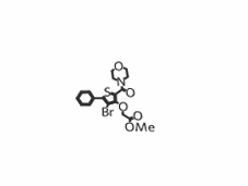 COC(=O)COc1c(C(=O)N2CCOCC2)sc(-c2ccccc2)c1Br